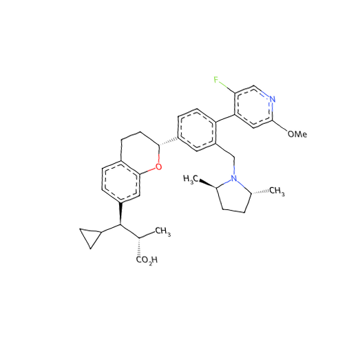 COc1cc(-c2ccc([C@H]3CCc4ccc([C@H](C5CC5)[C@H](C)C(=O)O)cc4O3)cc2CN2[C@H](C)CC[C@H]2C)c(F)cn1